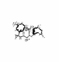 CC(C)(C)N(C(=O)O)[C@@H](Cc1cc(F)cc(F)c1)[C@H](O)CNC1(c2cccc(C(F)(F)F)c2)CC1